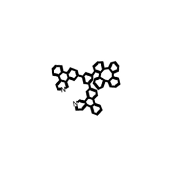 c1ccc2c(c1)-c1ccccc1-c1cccc(-c3cc(-c4ccc5c6ccccc6c6ccncc6c5c4)cc(-c4ccc5c6ccccc6c6ccncc6c5c4)c3)c1-c1ccccc1-2